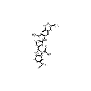 COc1cc2c(cc1Nc1nccc(C3Nc4ccc(C(F)F)cc4C3C(=O)O)n1)CN(C)CC2